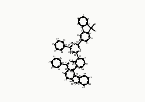 CC1(C)c2ccccc2-c2cc(-c3nc(-c4ccccc4)nc(-c4cccc5c4nc(-c4ccccc4)c4ccc6sc7ccccc7c6c45)n3)ccc21